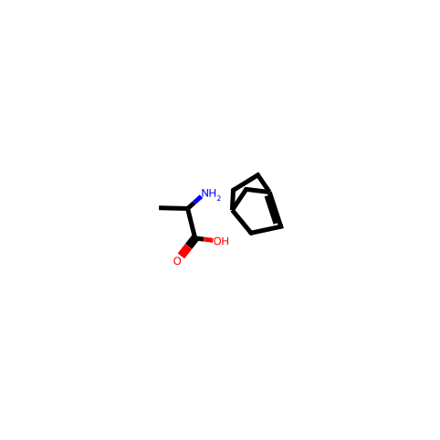 C1=C2CCC(C1)C2.CC(N)C(=O)O